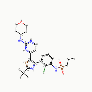 CCCS(=O)(=O)Nc1cccc(-c2nc(C(C)(C)C)sc2-c2ccnc(NC3CCOCC3)n2)c1F